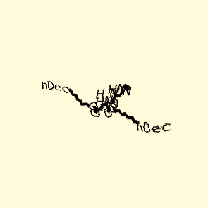 CCCCCCCCCCCCCCCCCCOC(=O)CCC(NC(=O)C(N)Cc1ncc[nH]1)C(=O)OCCCCCCCCCCCCCCCCCC